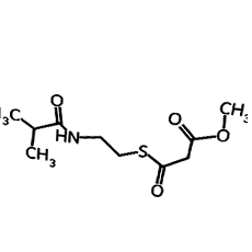 COC(=O)CC(=O)SCCNC(=O)C(C)C